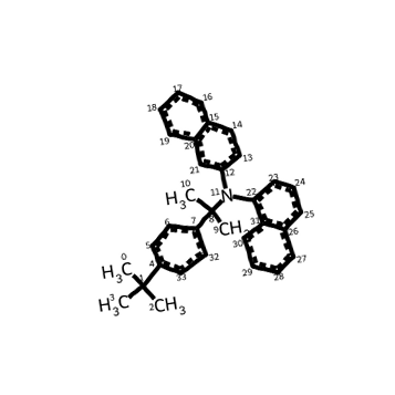 CC(C)(C)c1ccc(C(C)(C)N(c2ccc3ccccc3c2)c2cccc3ccccc23)cc1